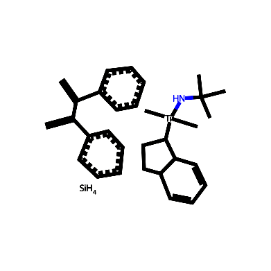 C=C(C(=C)c1ccccc1)c1ccccc1.CC(C)(C)[NH][Ti]([CH3])([CH3])[CH]1CCC2C=CC=CC21.[SiH4]